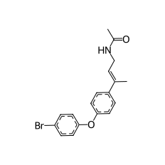 CC(=O)NCC=C(C)c1ccc(Oc2ccc(Br)cc2)cc1